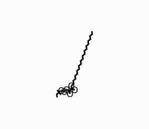 CCCCCCCCCCCCCCCCCCCCCCOC(=O)C(=O)OOOC(C)(C)CC